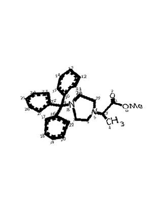 COC(=O)C(C)N1CCN(C(c2ccccc2)(c2ccccc2)c2ccccc2)CC1